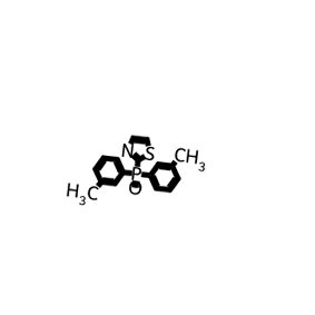 Cc1cccc(P(=O)(c2cccc(C)c2)c2nccs2)c1